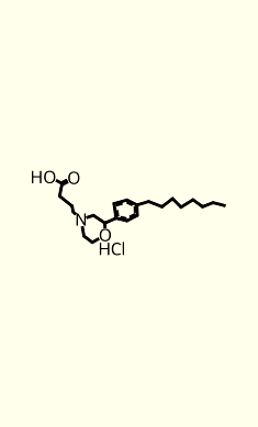 CCCCCCCCc1ccc(C2CN(CCCC(=O)O)CCO2)cc1.Cl